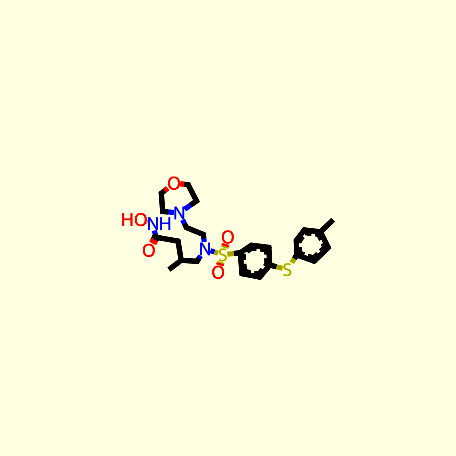 Cc1ccc(Sc2ccc(S(=O)(=O)N(CCN3CCOCC3)CC(C)CC(=O)NO)cc2)cc1